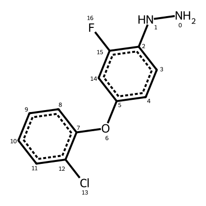 NNc1ccc(Oc2ccccc2Cl)cc1F